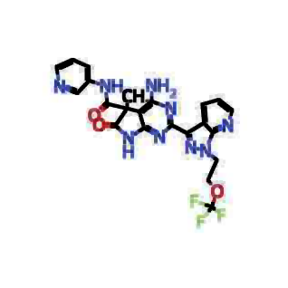 CC1(C(=O)Nc2cccnc2)C(=O)Nc2nc(-c3nn(CCOC(F)(F)F)c4ncccc34)nc(N)c21